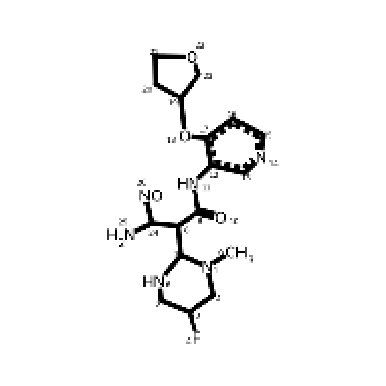 CN1CC(F)CNC1C(C(=O)Nc1cnccc1OC1CCOC1)C(N)N=O